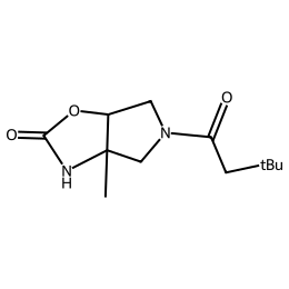 CC(C)(C)CC(=O)N1CC2OC(=O)NC2(C)C1